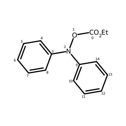 CCOC(=O)ON(c1ccccc1)c1ccccc1